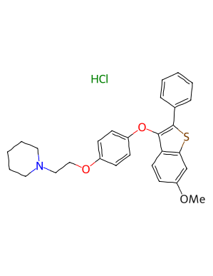 COc1ccc2c(Oc3ccc(OCCN4CCCCC4)cc3)c(-c3ccccc3)sc2c1.Cl